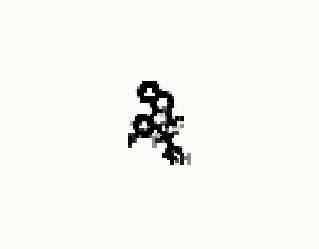 O=C(OC(F)(F)C1CNC1)N1CCc2ccccc2[C@@H]1c1ccc(F)cc1